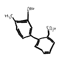 COc1cc(-c2ccccc2C(=O)O)ccc1C